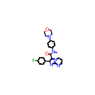 CN(C(=O)c1c(-c2ccc(F)cc2)nc2ncccn12)c1ccc(N2CCOCC2)cc1